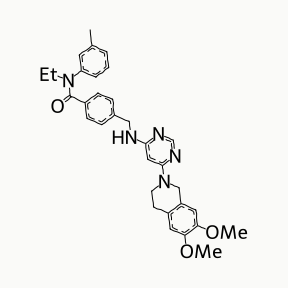 CCN(C(=O)c1ccc(CNc2cc(N3CCc4cc(OC)c(OC)cc4C3)ncn2)cc1)c1cccc(C)c1